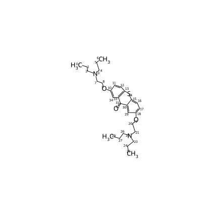 CCCN(CCC)CCOc1ccc2sc3ccc(OCCN(CCC)CCC)cc3c(=O)c2c1